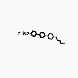 CCCCCCc1ccc(-c2ccc([C@H]3CC[C@H](CCC=CF)CC3)cc2)cc1